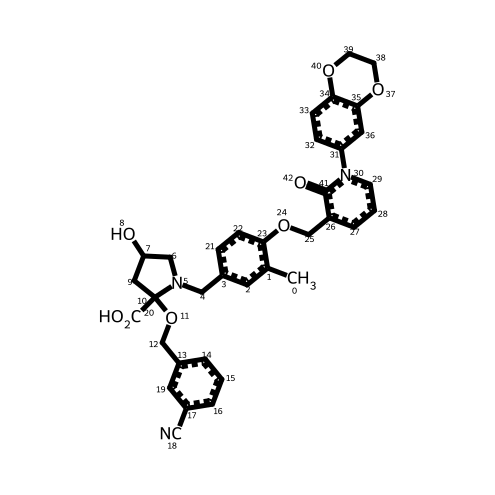 Cc1cc(CN2CC(O)CC2(OCc2cccc(C#N)c2)C(=O)O)ccc1OCc1cccn(-c2ccc3c(c2)OCCO3)c1=O